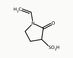 C=CN1CCC(S(=O)(=O)O)C1=O